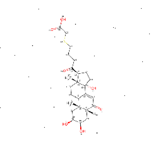 C[C@]12C[C@H](O)[C@H](O)C[C@H]1C(=O)C=C1C2CC[C@]2(C)[C@@H](C(=O)CCCSCC(=O)O)CC[C@@]12O